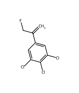 C=C(CF)c1cc(Cl)c(Cl)c(Cl)c1